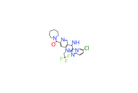 N=C(c1cnc(C(=O)N2CCCCCC2)cc1NCC(F)(F)F)c1cnc2ccc(Cl)cn12